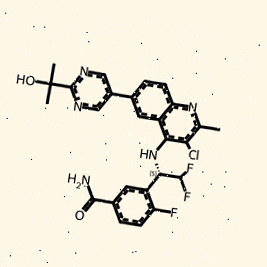 Cc1nc2ccc(-c3cnc(C(C)(C)O)nc3)cc2c(N[C@@H](c2cc(C(N)=O)ccc2F)C(F)F)c1Cl